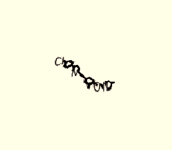 Cc1cc(C#Cc2ccc(-c3ccc(Cl)cc3)cn2)ccc1OCCN1CCC(C)CC1